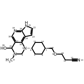 CN1CN([C@H]2CC[C@H](COCCC#N)CC2)c2c(cnc3[nH]ccc23)C1O